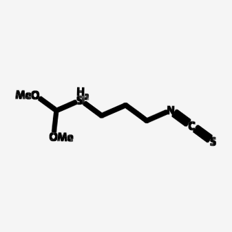 COC(OC)[SiH2]CCCN=C=S